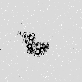 COC1COCCC1NC1CC(C)[C@](CN(C)C)(C(=O)N2CCc3ncc(C(F)(F)F)cc3C2)C1